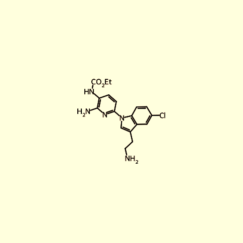 CCOC(=O)Nc1ccc(-n2cc(CCN)c3cc(Cl)ccc32)nc1N